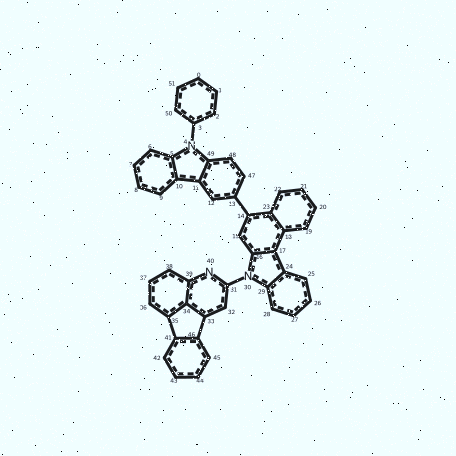 c1ccc(-n2c3ccccc3c3cc(-c4cc5c(c6ccccc46)c4ccccc4n5-c4cc5c6c(cccc6n4)-c4ccccc4-5)ccc32)cc1